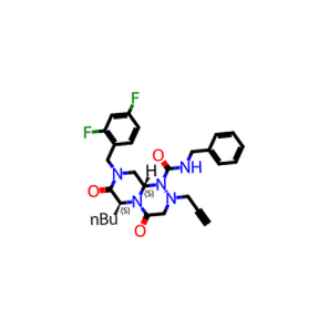 C#CCN1CC(=O)N2[C@@H](CCCC)C(=O)N(Cc3ccc(F)cc3F)C[C@@H]2N1C(=O)NCc1ccccc1